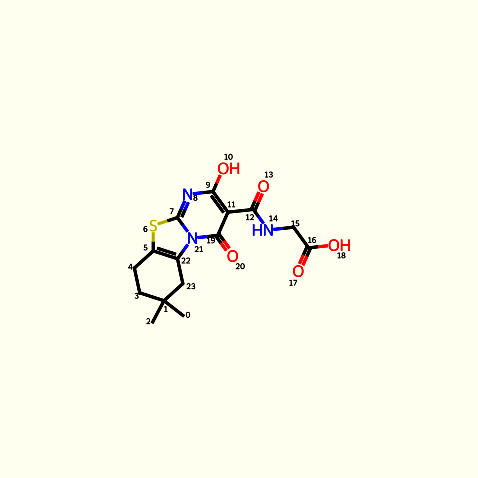 CC1(C)CCc2sc3nc(O)c(C(=O)NCC(=O)O)c(=O)n3c2C1